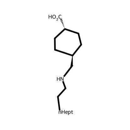 CCCCCCCCCNC[C@H]1CC[C@H](C(=O)O)CC1